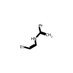 C=C(N/C=C\CC)C(C)C